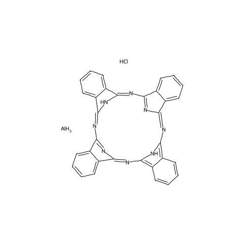 Cl.[AlH3].c1ccc2c(c1)-c1nc-2nc2[nH]c(nc3nc(nc4[nH]c(n1)c1ccccc41)-c1ccccc1-3)c1ccccc21